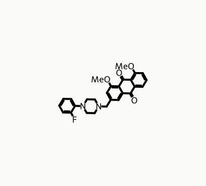 COc1cccc2c1C(=O)c1c(OC)cc(CN3CCN(c4ccccc4F)CC3)cc1C2=O